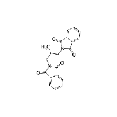 CC(CN1C(=O)c2ccccc2C1=O)CN1C(=O)c2ccccc2C1=O